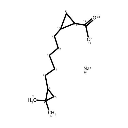 CC1(C)CC1CCCCCC1CC1C(=O)[O-].[Na+]